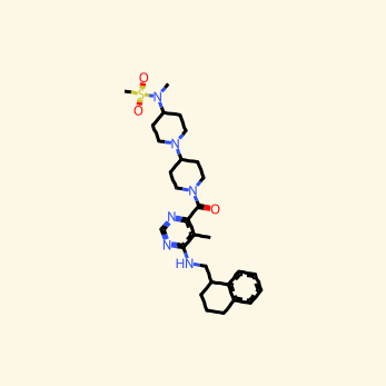 Cc1c(NCC2CCCc3ccccc32)ncnc1C(=O)N1CCC(N2CCC(N(C)S(C)(=O)=O)CC2)CC1